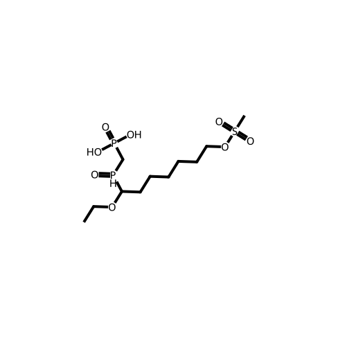 CCOC(CCCCCCOS(C)(=O)=O)[PH](=O)CP(=O)(O)O